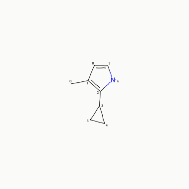 CC1=C(C2CC2)[N]C=C1